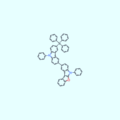 c1ccc(-n2c3ccc(-c4ccc5c(c4)c4c6ccccc6oc4n5-c4ccccc4)cc3c3cc([Si](c4ccccc4)(c4ccccc4)c4ccccc4)ccc32)cc1